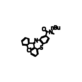 CCCCN(C)C(=O)c1ccc2c(c1)N=C(c1ccccc1Cl)c1ccccc1S2